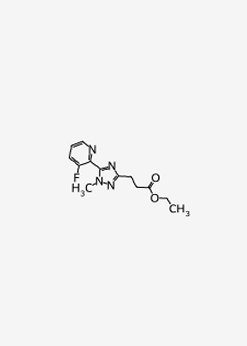 CCOC(=O)CCc1nc(-c2ncccc2F)n(C)n1